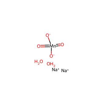 O.O.[Na+].[Na+].[O]=[Mn](=[O])([O-])[O-]